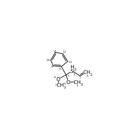 C=C[SiH2]C(OC)(OC)c1ccccc1